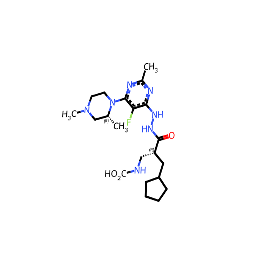 Cc1nc(NNC(=O)[C@@H](CNC(=O)O)CC2CCCC2)c(F)c(N2CCN(C)C[C@H]2C)n1